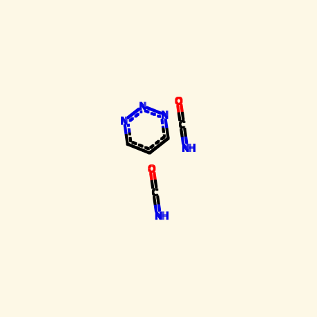 N=C=O.N=C=O.c1cnnnc1